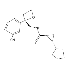 N#Cc1cccc([C@]2(CNC(=O)[C@H]3C[C@@H]3C3CCCC3)CCO2)c1